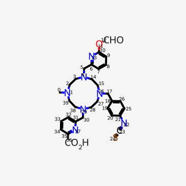 CN1CCN(Cc2cccc(OC=O)n2)CCN(Cc2ccc(N=C=S)cc2)CCN(Cc2cccc(C(=O)O)n2)CC1